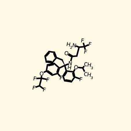 CC(C)Oc1c(F)cccc1[C@@](Cc1ccccc1)(NC(=O)CC(N)C(F)(F)F)c1ccc(OC(F)(F)C(F)F)cc1F